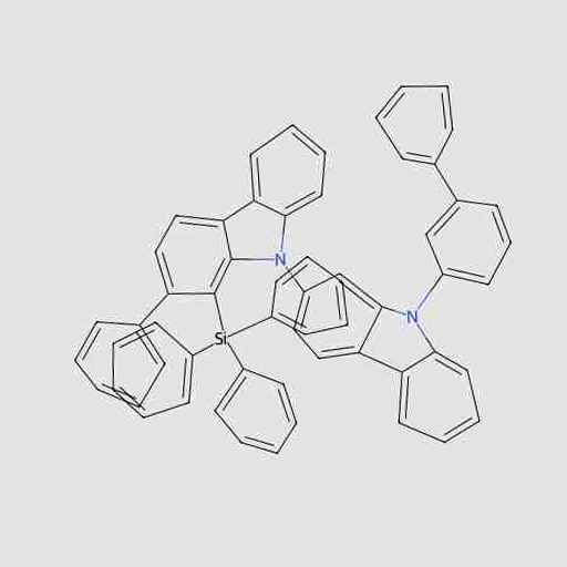 c1ccc(-c2cccc(-n3c4ccccc4c4ccc(-n5c6ccccc6c6ccc(-c7ccccc7)c([Si](c7ccccc7)(c7ccccc7)c7ccccc7)c65)cc43)c2)cc1